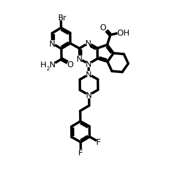 NC(=O)c1ncc(Br)cc1-c1nc2c(C(=O)O)c3c(c-2n(N2CCN(CCc4ccc(F)c(F)c4)CC2)n1)CCCC3